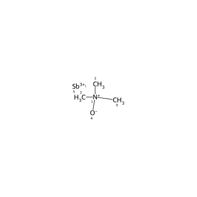 C[N+](C)(C)[O-].[Sb+3]